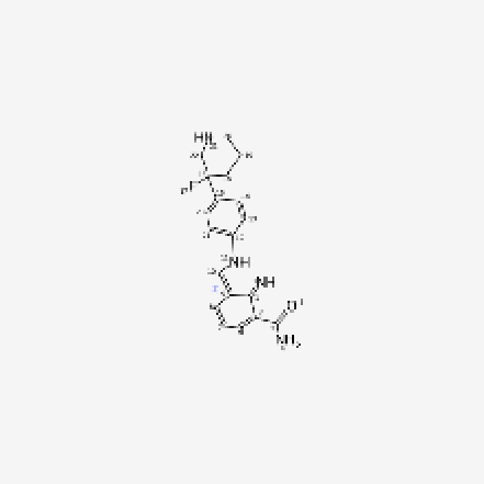 N=C1C(C(N)=O)=CC=C/C1=C/Nc1ccc(C2(F)CCCNC2)cc1